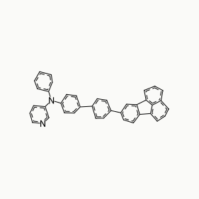 c1ccc(N(c2ccc(-c3ccc(-c4ccc5c(c4)-c4cccc6cccc-5c46)cc3)cc2)c2cccnc2)cc1